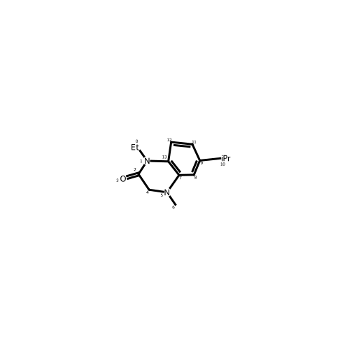 CCN1C(=O)CN(C)c2cc(C(C)C)ccc21